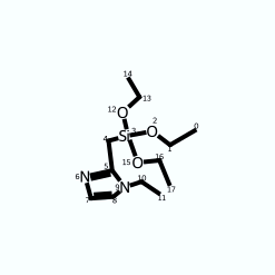 CCO[Si](Cc1nccn1CC)(OCC)OCC